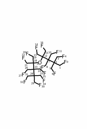 FCC(CF)(CF)C(CF)(CF)C(CF)(CF)OC(CF)(CF)C(CF)(CF)C(CF)(CF)CF